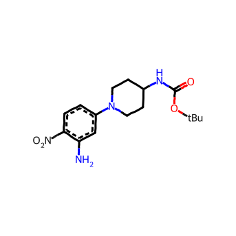 CC(C)(C)OC(=O)NC1CCN(c2ccc([N+](=O)[O-])c(N)c2)CC1